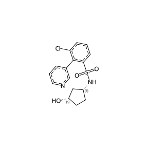 O=S(=O)(N[C@@H]1CC[C@H](O)C1)c1cccc(Cl)c1-c1cccnc1